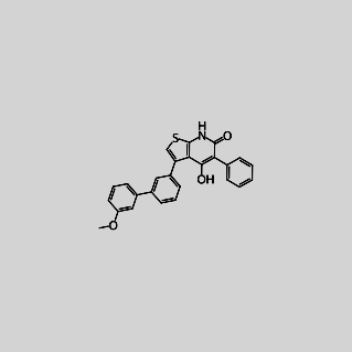 COc1cccc(-c2cccc(-c3csc4[nH]c(=O)c(-c5ccccc5)c(O)c34)c2)c1